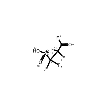 O=C(F)C(F)(F)C(F)(F)S(=O)(=O)O